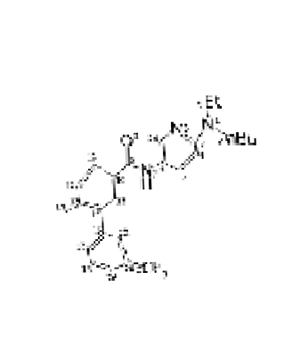 CCCCN(CC)c1ccc(NC(=O)c2ccc(C)c(-c3cccc(C(F)(F)F)c3)c2)cn1